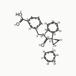 O=C(O)c1cccc(CN2C(=O)[C@]3(C[C@@H]3c3cccnc3)c3ccccc32)c1